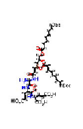 CCCCCCCCCCCCCCCCCC(=O)OC[C@H](CSCCC(=O)N[C@@H](N)C(=O)NC(CCC(=O)O)C(=O)NC(CCC(=O)O)C(=O)O)OC(=O)CCCCCCCCCCCCCCCCC